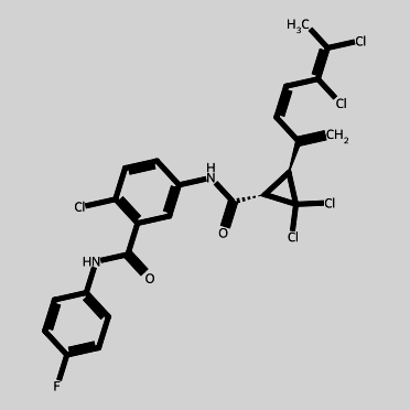 C=C(/C=C\C(Cl)=C(/C)Cl)[C@@H]1[C@@H](C(=O)Nc2ccc(Cl)c(C(=O)Nc3ccc(F)cc3)c2)C1(Cl)Cl